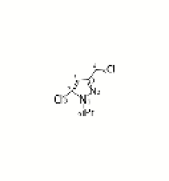 CC(C)n1nc(CCl)cc1Cl